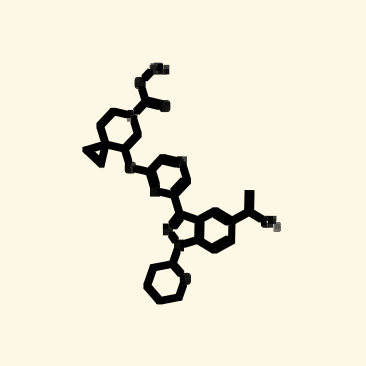 C=C(c1ccc2c(c1)c(-c1cncc(OC3CN(C(=O)OC(C)(C)C)CCC34CC4)n1)nn2C1CCCCO1)C(F)(F)F